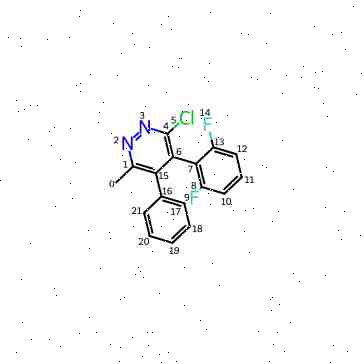 Cc1nnc(Cl)c(-c2c(F)cccc2F)c1-c1ccccc1